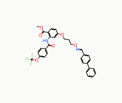 COC(=O)c1ccc(OCCCON=Cc2ccc(-c3ccccc3)cc2)cc1NC(=O)c1ccc(OC(F)(F)F)cc1